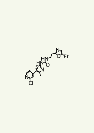 CCc1cnc(CCNC(=O)Nc2nc(C)c(-c3ccnc(Cl)c3)s2)o1